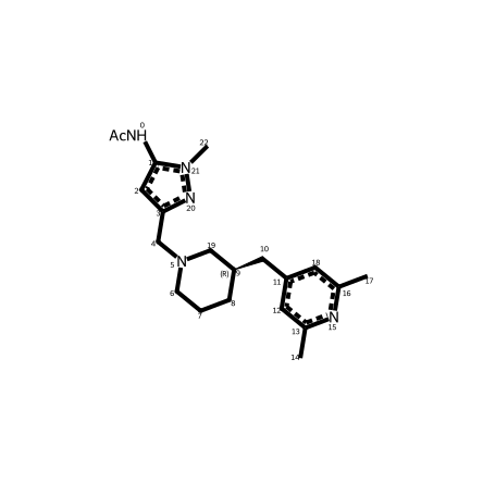 CC(=O)Nc1cc(CN2CCC[C@H](Cc3cc(C)nc(C)c3)C2)nn1C